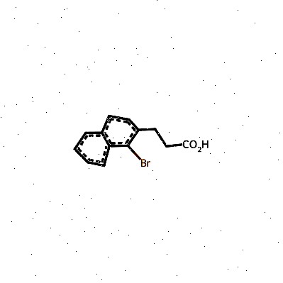 O=C(O)CCc1ccc2ccccc2c1Br